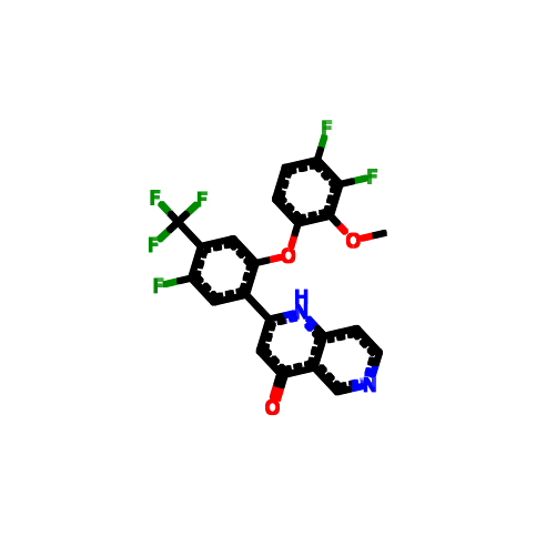 COc1c(Oc2cc(C(F)(F)F)c(F)cc2-c2cc(=O)c3cnccc3[nH]2)ccc(F)c1F